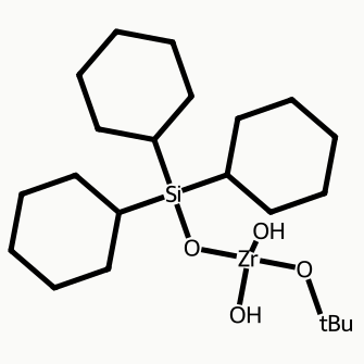 CC(C)(C)[O][Zr]([OH])([OH])[O][Si](C1CCCCC1)(C1CCCCC1)C1CCCCC1